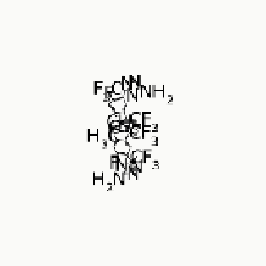 Cc1cc(F)c(C2(C(F)(F)F)N=NC(N)=N2)cc1C([S+]([O-])C(c1cc(C2(C(F)(F)F)N=NC(N)=N2)c(F)cc1C)C(F)(F)F)C(F)(F)F